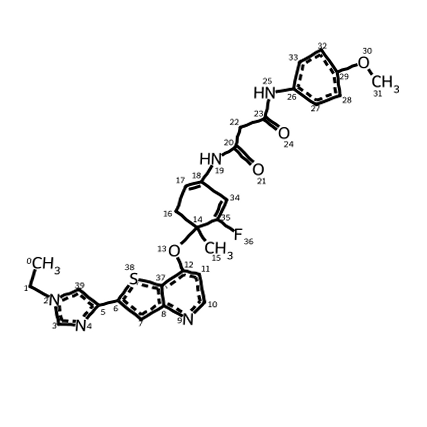 CCn1cnc(-c2cc3nccc(OC4(C)CC=C(NC(=O)CC(=O)Nc5ccc(OC)cc5)C=C4F)c3s2)c1